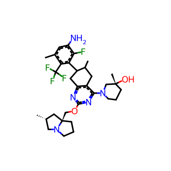 Cc1cc(N)c(F)c(C2Cc3nc(OC[C@@]45CCCN4C[C@H](C)C5)nc(N4CCC[C@@](C)(O)C4)c3CC2C)c1C(F)(F)F